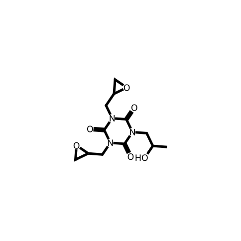 CC(O)Cn1c(=O)n(CC2CO2)c(=O)n(CC2CO2)c1=O